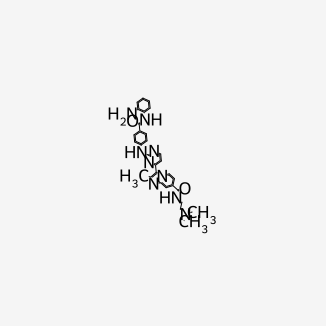 Cc1nc2cc(C(=O)NCCN(C)C)ccn2c1-c1ccnc(Nc2ccc(C(=O)Nc3ccccc3N)cc2)n1